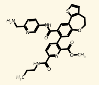 CCCNC(=O)c1ccc(-c2cc3c(cc2C(=O)Nc2ccc(CN)nc2)-c2sccc2CCO3)c(C(=O)OC)n1